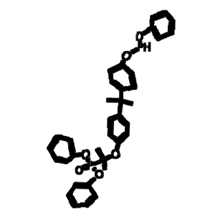 CC(C)(c1ccc(OPOc2ccccc2)cc1)c1ccc(OC(C)(C)P(=O)(Oc2ccccc2)Oc2ccccc2)cc1